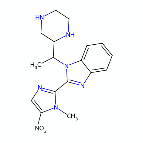 CC(C1CNCCN1)n1c(-c2ncc([N+](=O)[O-])n2C)nc2ccccc21